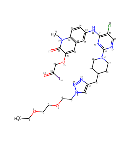 CCOCCOCCn1cc(CC2CCN(c3ncc(Cl)c(Nc4ccc5c(c4)cc(OCC(=O)I)c(=O)n5C)n3)CC2)nn1